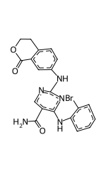 NC(=O)c1cnc(Nc2ccc3c(c2)C(=O)OCC3)nc1Nc1ccccc1Br